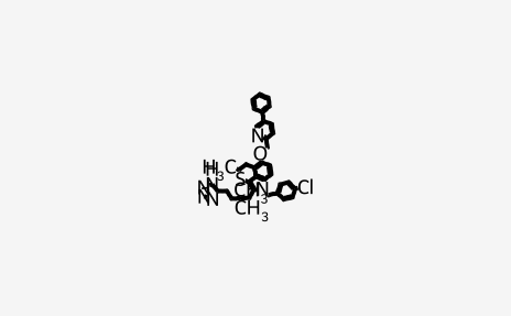 CC1Cc2c(OCc3ccc(-c4ccccc4)cn3)ccc3c2c(c(CC(C)(C)CCc2nnn[nH]2)n3Cc2ccc(Cl)cc2)S1